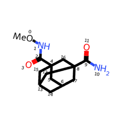 CONC(=O)C12CC3[CH]C(C(N)=O)(CC(C3)C1)C2